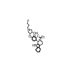 C=C(CC)N1CCc2c([nH]c3ccccc23)[C@H]1c1ccc(O[C@H]2CN(CCCF)C[C@@H]2O)cc1